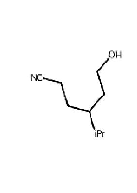 CC(C)C(CCO)CCC#N